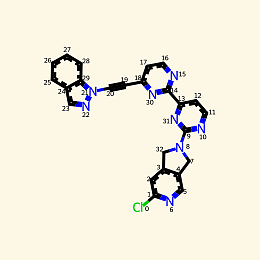 Clc1cc2c(cn1)CN(c1nccc(-c3nccc(C#Cn4ncc5ccccc54)n3)n1)C2